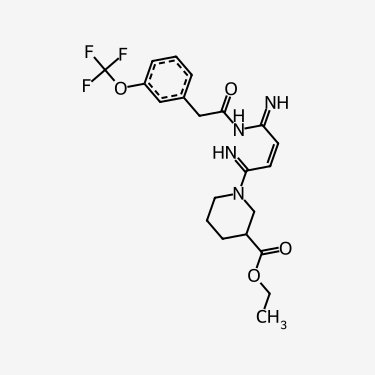 CCOC(=O)C1CCCN(C(=N)/C=C\C(=N)NC(=O)Cc2cccc(OC(F)(F)F)c2)C1